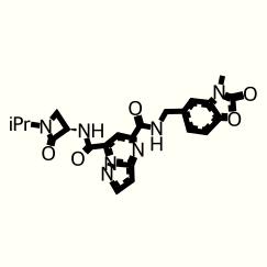 CC(C)N1C[C@H](NC(=O)c2cc(C(=O)NCc3ccc4oc(=O)n(C)c4c3)nc3ccnn23)C1=O